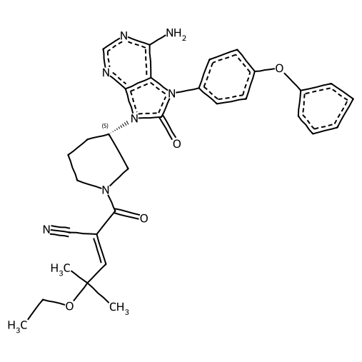 CCOC(C)(C)C=C(C#N)C(=O)N1CCC[C@H](n2c(=O)n(-c3ccc(Oc4ccccc4)cc3)c3c(N)ncnc32)C1